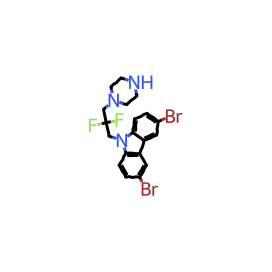 FC(F)(CN1CCNCC1)Cn1c2ccc(Br)cc2c2cc(Br)ccc21